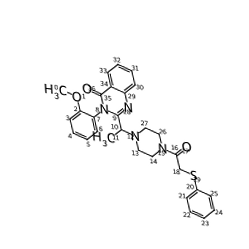 COc1ccccc1-n1c(C(C)N2CCN(C(=O)CSc3ccccc3)CC2)nc2ccccc2c1=O